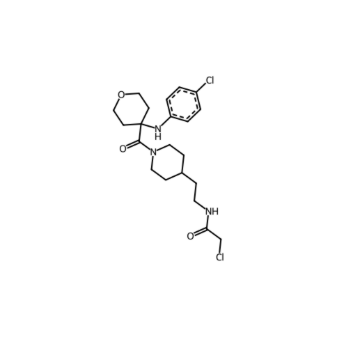 O=C(CCl)NCCC1CCN(C(=O)C2(Nc3ccc(Cl)cc3)CCOCC2)CC1